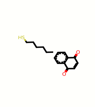 CCCCCCS.O=C1C=CC(=O)c2ccccc21